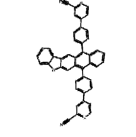 N#Cc1cc(-c2ccc(-c3c4ccccc4c(-c4ccc(-c5ccnc(C#N)c5)cc4)c4cc5c(cc34)oc3ccccc35)cc2)ccn1